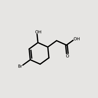 O=C(O)CC1CCC(Br)=CC1O